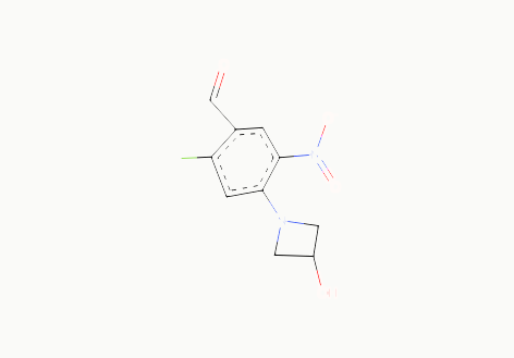 O=Cc1cc([N+](=O)[O-])c(N2CC(O)C2)cc1F